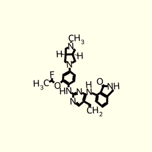 C=Cc1cnc(Nc2ccc(N3C[C@H]4CN(C)C[C@H]4C3)cc2OC(C)F)nc1Nc1cccc2c1C(=O)NC2